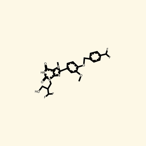 COc1cc(-c2nc3c(c(=O)[nH]c(=O)n3CC(CO)C(F)F)n2C)ccc1OCc1ccc(C(F)F)cc1